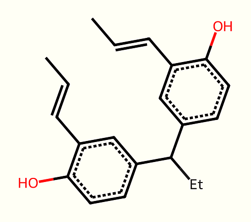 CC=Cc1cc(C(CC)c2ccc(O)c(C=CC)c2)ccc1O